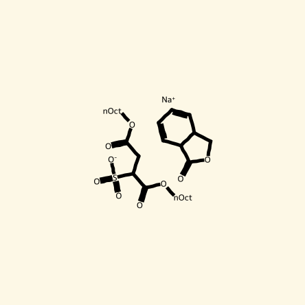 CCCCCCCCOC(=O)CC(C(=O)OCCCCCCCC)S(=O)(=O)[O-].O=C1OCC2C=CC=CC12.[Na+]